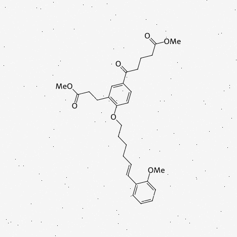 COC(=O)CCCC(=O)c1ccc(OCCCC/C=C/c2ccccc2OC)c(CCC(=O)OC)c1